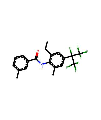 CCc1cc(C(F)(C(F)(F)F)C(F)(F)F)cc(C)c1NC(=O)c1cccc(C)c1